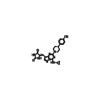 N#Cc1ccc(C2CCN(c3nc(NC4CC4)n4ncc(/C=C5\NC(=O)NC5=O)c4n3)CC2)cc1